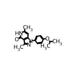 Cc1cc2c(c(C)nn2-c2ccc(OC(C)C)cc2)c(=O)[nH]1